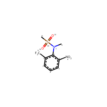 CN(c1c([N+](=O)[O-])cccc1C(F)(F)F)S(C)(=O)=O